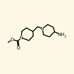 COC(=O)N1CCC(CN2CCC(N)CC2)CC1